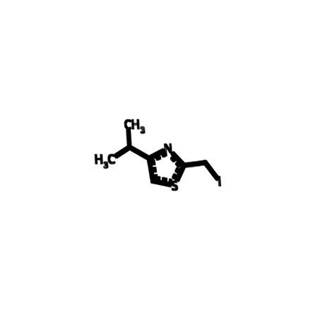 CC(C)c1csc(CI)n1